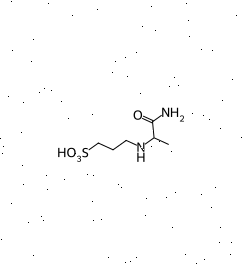 CC(NCCCS(=O)(=O)O)C(N)=O